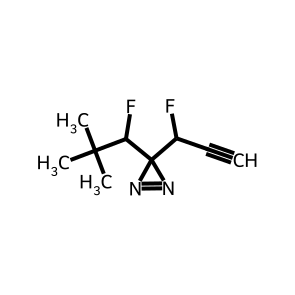 C#CC(F)C1(C(F)C(C)(C)C)N=N1